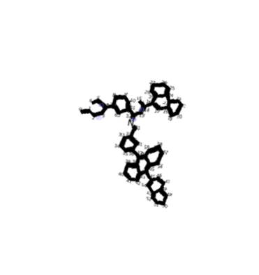 C=C/C=C\C(=C/C)c1cccc(C(/C=C(\C)c2cc3ccccc3c3ccccc23)=N/Cc2cccc(-c3c4ccccc4c(-c4ccc5ccccc5c4)c4ccccc34)c2)c1